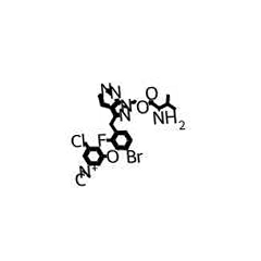 [C-]#[N+]c1cc(Cl)cc(Oc2c(Br)ccc(Cc3nn(COC(=O)[C@@H](N)C(C)C)c4nnccc34)c2F)c1